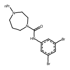 CCCN1CCCN(C(=O)Nc2cc(Br)cc(Br)c2)CC1